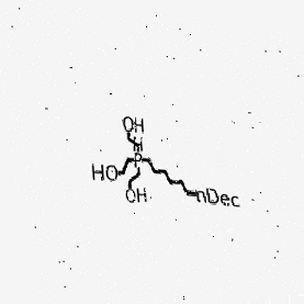 CCCCCCCCCCCCCCCC[PH](CCO)(CCO)CCO